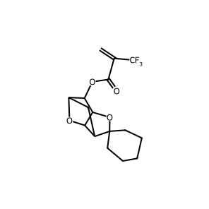 C=C(C(=O)OC1C2CC3C(O2)C1OC31CCCCC1)C(F)(F)F